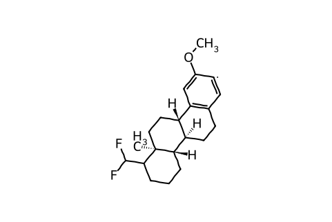 COc1[c]cc2c(c1)[C@H]1CC[C@]3(C)C(C(F)F)CCC[C@H]3[C@@H]1CC2